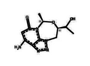 CC(O)[C@H]1Cn2nnc3c(N)cc(=O)n(c32)[C@@H](C)O1